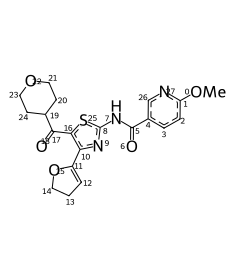 COc1ccc(C(=O)Nc2nc(C3=CCCO3)c(C(=O)C3CCOCC3)s2)cn1